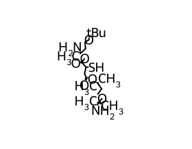 CC(C)(C)OCCC(C)(N)OC(=O)C(S)CC(=O)OC(C)(C)CCOC(C)(C)N